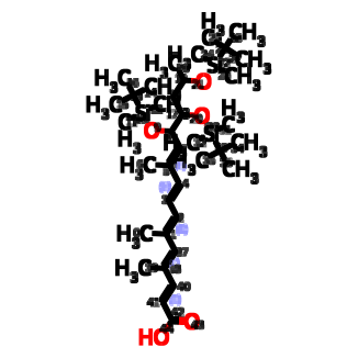 CC(=C\C=C\C(C)=C\C(O[Si](C)(C)C(C)(C)C)C(CC(C)O[Si](C)(C)C(C)(C)C)O[Si](C)(C)C(C)(C)C)/C=C(C)/C=C/C(=O)O